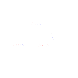 C=C(N=O)C(N=O)C(O)CN=O